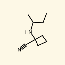 CCC(C)NC1(C#N)CCC1